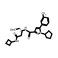 O=CC[C@@H](CC(=O)NC1CCC1)NC(=O)c1cc(-c2cccc(C(F)(F)F)c2)n(C2CCCC2)n1